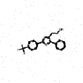 OCCc1sc(-c2ccc(C(F)(F)F)cc2)nc1-c1ccccc1